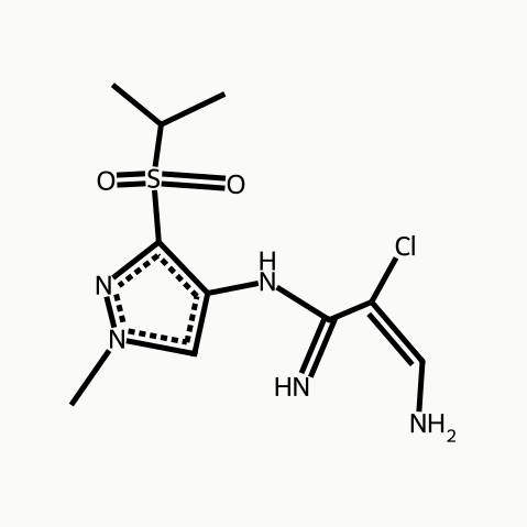 CC(C)S(=O)(=O)c1nn(C)cc1NC(=N)/C(Cl)=C\N